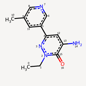 CCn1nc(-c2cncc(C)c2)cc(N)c1=O